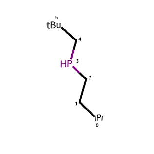 CC(C)CCPCC(C)(C)C